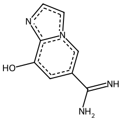 N=C(N)c1cc(O)c2nccn2c1